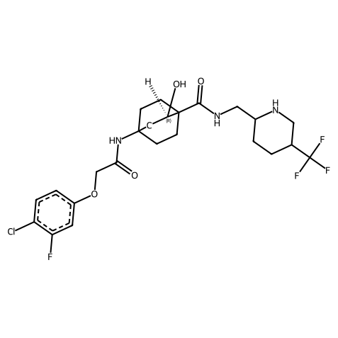 O=C(COc1ccc(Cl)c(F)c1)NC12CCC(C(=O)NCC3CCC(C(F)(F)F)CN3)(CC1)[C@H](O)C2